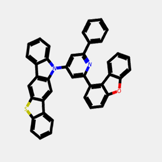 c1ccc(-c2cc(-n3c4ccccc4c4cc5sc6ccccc6c5cc43)cc(-c3cccc4oc5ccccc5c34)n2)cc1